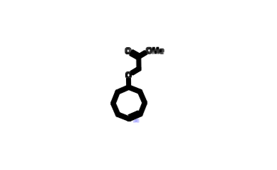 COC(=O)COC1CC/C=C\CCC1